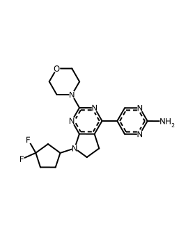 Nc1ncc(-c2nc(N3CCOCC3)nc3c2CCN3C2CCC(F)(F)C2)cn1